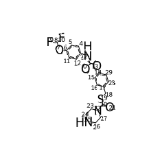 O=C(Nc1ccc(OC(F)F)cc1)Oc1ccc(CSC(=O)N2CCNCC2)cc1